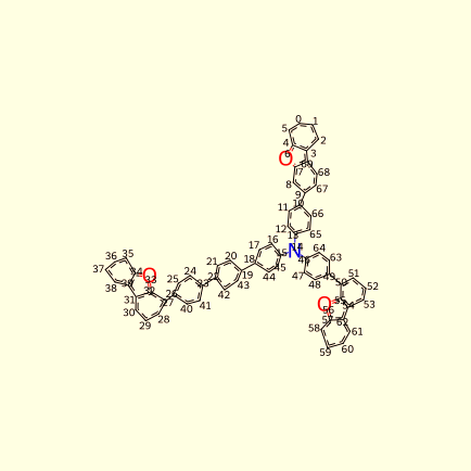 c1ccc2c(c1)oc1cc(-c3ccc(N(c4ccc(-c5ccc(-c6ccc(-c7cccc8c7oc7ccccc78)cc6)cc5)cc4)c4ccc(-c5cccc6c5oc5ccccc56)cc4)cc3)ccc12